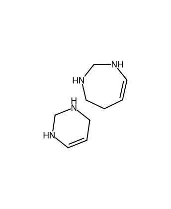 C1=CNCNC1.C1=CNCNCC1